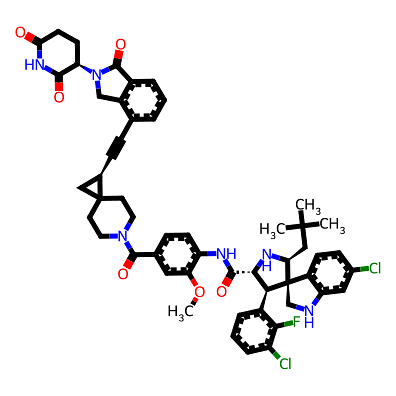 COc1cc(C(=O)N2CCC3(CC2)C[C@H]3C#Cc2cccc3c2CN([C@@H]2CCC(=O)NC2=O)C3=O)ccc1NC(=O)[C@@H]1N[C@@H](CC(C)(C)C)[C@@]2(CNc3cc(Cl)ccc32)[C@H]1c1cccc(Cl)c1F